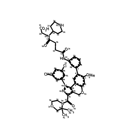 COc1cc2c(cc1-c1cccc(NC(=O)CCC(=O)N(CC(=O)O)C3CCNCC3)c1)-c1c(c(C(=O)N3CCOCC3(C)C)nn1-c1cc(Cl)cc(Cl)c1)CO2